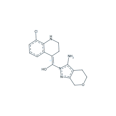 Nc1c2c(nn1/C(O)=C1\CCNc3c(Cl)cccc31)COCC2